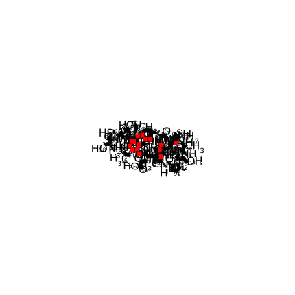 CC(C)C[C@H](NC(=O)[C@H](C)NC(=O)[C@H](CC(C)C)NC(=O)[C@H](CC(=O)O)NC(=O)[C@H](CS)NC(=O)[C@@H](N)CO)C(=O)N[C@@H](CC(C)C)C(=O)N[C@@H](CCC(=O)O)C(=O)N[C@H](C(=O)N[C@@H](Cc1ccc(O)cc1)C(=O)N[C@@H](CS)C(=O)N[C@@H](C)C(=O)N[C@H](C(=O)N1CCC[C@H]1C(=O)N[C@@H](C)C(=O)N[C@@H](CCCCN)C(=O)O)[C@@H](C)O)[C@@H](C)O